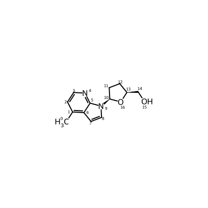 Cc1ccnc2c1ccn2[C@H]1CC[C@@H](CO)O1